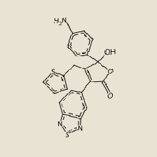 Nc1ccc(C2(O)OC(=O)C(c3ccc4nsnc4c3)=C2Cc2cccs2)cc1